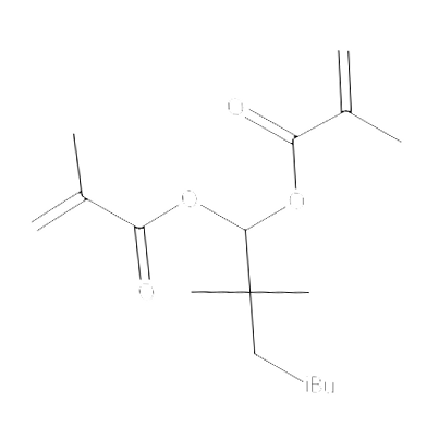 C=C(C)C(=O)OC(OC(=O)C(=C)C)C(C)(C)CC(C)CC